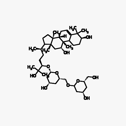 C[C@H](CC[C@@H](O[C@H]1C[C@@H](O)C[C@@H](COC2C[C@@H](O)C[C@@H](CO)O2)O1)C(C)(C)O)C1CC[C@@]2(C)[C@@H]3CC=C4C(CC[C@H](O)C4(C)C)[C@]3(C)[C@H](O)C[C@]12C